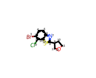 Clc1c(Br)ccc2nc(C3CCOC3)sc12